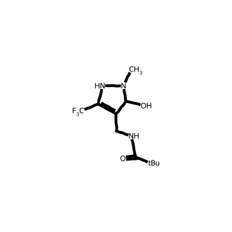 CN1NC(C(F)(F)F)=C(CNC(=O)C(C)(C)C)C1O